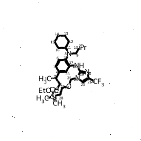 CCOC(=O)C[C@@H](C)c1ccc(N(CC(C)C)C2CCCCC2)c(Nc2nc(C(F)(F)F)cn2COCC[Si](C)(C)C)c1